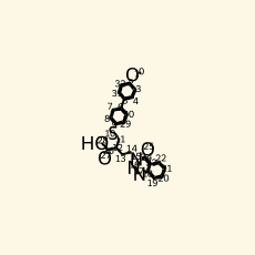 COc1ccc(-c2ccc(SCC(CCn3nnc4ccccc4c3=O)C(=O)O)cc2)cc1